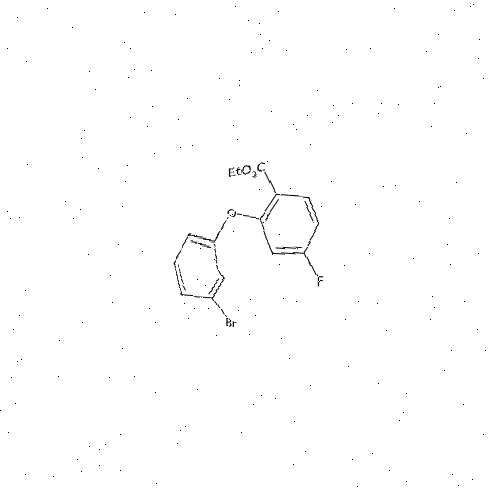 CCOC(=O)c1ccc(F)cc1Oc1cccc(Br)c1